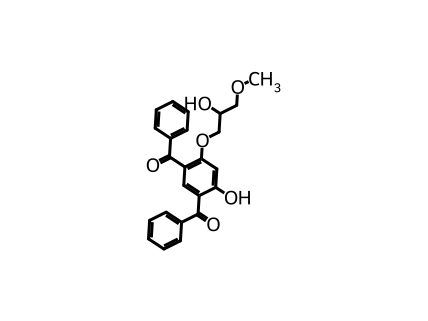 COCC(O)COc1cc(O)c(C(=O)c2ccccc2)cc1C(=O)c1ccccc1